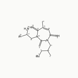 C=C1N(CC(C)CC(C)CC)C(=N)C=C(C)C(=N)N1CC(N)C(C)C